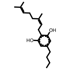 CCCCc1cc(O)c(CC=C(C)CCC=C(C)C)c(O)c1